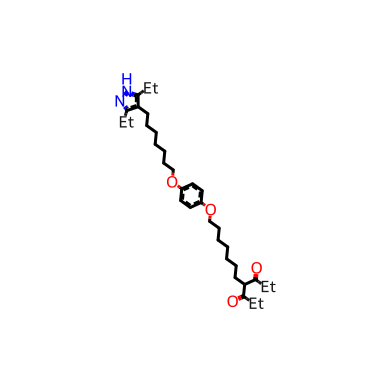 CCC(=O)C(CCCCCCCOc1ccc(OCCCCCCCc2c(CC)n[nH]c2CC)cc1)C(=O)CC